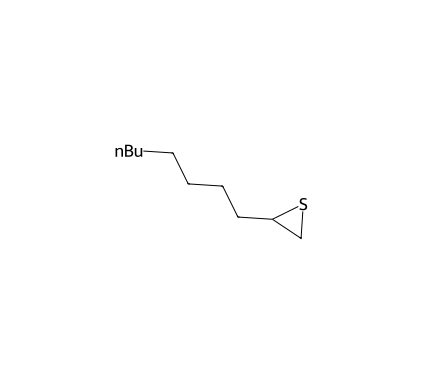 CCCCCCCCC1CS1